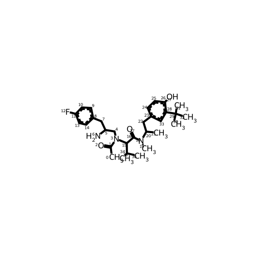 CC(=O)N(CC(N)Cc1ccc(F)cc1)C(C(=O)N(C)C(C)Cc1ccc(O)c(C(C)(C)C)c1)C(C)C